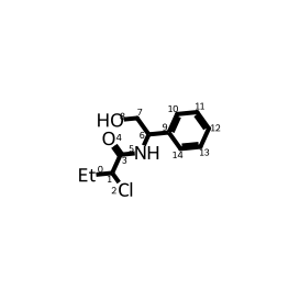 CCC(Cl)C(=O)NC(CO)c1ccccc1